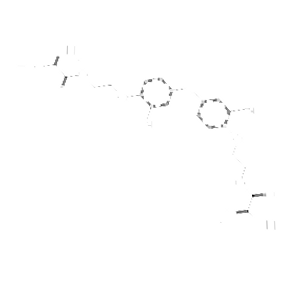 C=C(C)C(=O)OCCOc1ccc(Sc2ccc(OCCOC(=O)C(=C)C)c(Br)c2)cc1Br